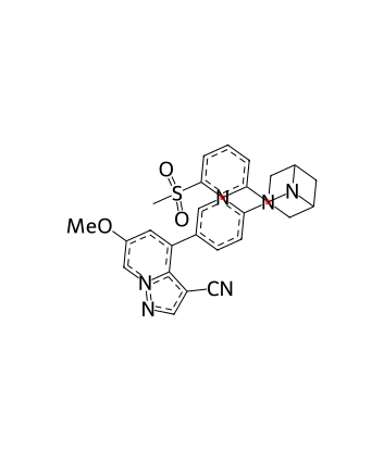 COc1cc(-c2ccc(N3CC4CC(C3)N4Cc3cccc(S(C)(=O)=O)c3)nc2)c2c(C#N)cnn2c1